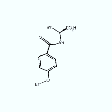 CCOc1ccc(C(=O)N[C@H](C(=O)O)C(C)C)cc1